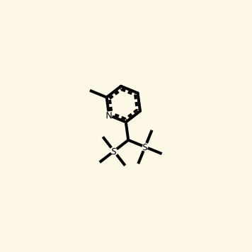 Cc1cccc(C(S(C)(C)C)S(C)(C)C)n1